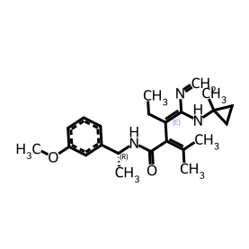 C=N/C(NC1(C)CC1)=C(\CC)C(C(=O)N[C@H](C)c1cccc(OC)c1)=C(C)C